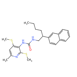 CCCCC(CNC(=O)Nc1c(SC)cc(C)nc1SC)c1ccc2ccccc2c1